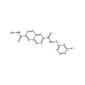 O=C(NO)c1ccc2cc(C(=O)NCc3cccc(F)c3)ccc2c1